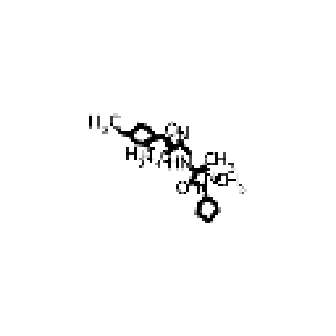 CCC1CCC(c2onc(CNc3c(C)n(C)n(C4CCCCC4)c3=O)c2C)=C(C)C1